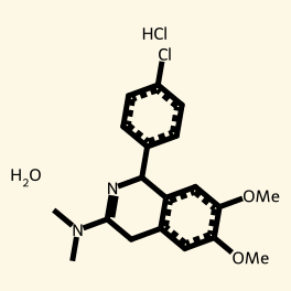 COc1cc2c(cc1OC)C(c1ccc(Cl)cc1)N=C(N(C)C)C2.Cl.O